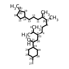 CC(C)[C@@H](CCC[C@@H](C)C(C)CCCC1CC[C@@H](C)C1)CC(O)C1CCC(I)CC1